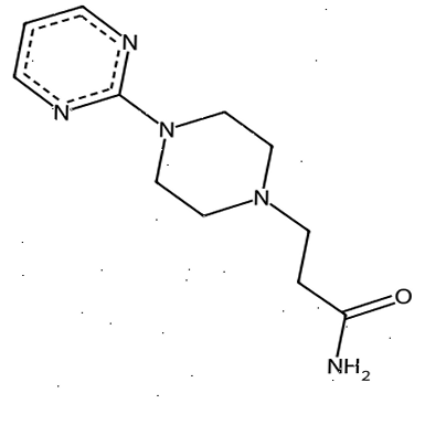 NC(=O)CCN1CCN(c2ncccn2)CC1